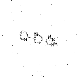 c1c[nH]nn1.c1ccc(-c2ccccn2)nc1